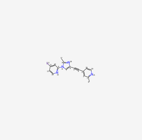 Cc1cc(C#Cc2cn(-c3cc(I)ccn3)c(C)n2)ccn1